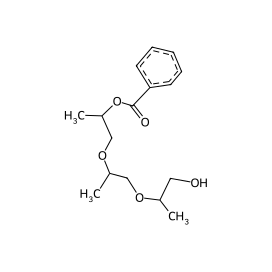 CC(CO)OCC(C)OCC(C)OC(=O)c1ccccc1